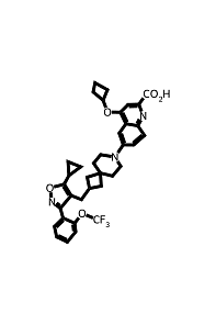 O=C(O)c1cc(OC2CCC2)c2cc(N3CCC4(CC3)CC(Cc3c(-c5ccccc5OC(F)(F)F)noc3C3CC3)C4)ccc2n1